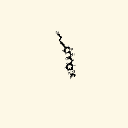 N#CCCC#Cc1cnc(NC(=O)Cc2cccc(OC(F)(F)F)c2)nc1